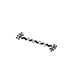 C[Si](C)(C)N(CCCOCCOCCOCCOCCCN([Si](C)(C)C)[Si](C)(C)C)[Si](C)(C)C